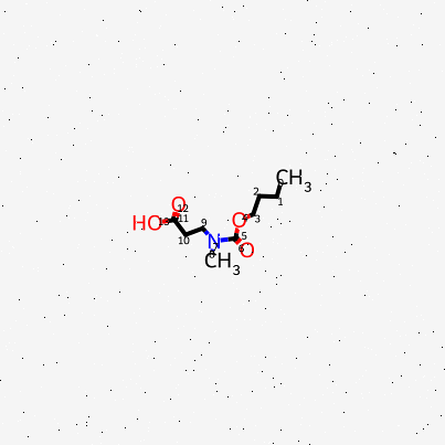 CCCCOC(=O)N(C)CCC(=O)O